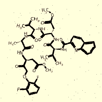 COC(=O)C[C@H](NC(=O)[C@H](C)NC(=O)[C@@H](NC(=O)[C@H](CC(=O)OC)NC(=O)[C@@H](NC(=O)c1ccc2ccccc2n1)C(C)C)C(C)C)C(=O)COc1c(F)cccc1F